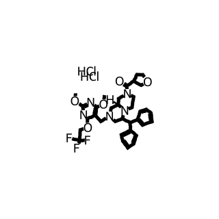 COc1nc(OC)c(CN2CC(C(c3ccccc3)c3ccccc3)N3CCN(C(=O)C4CCOC4)C[C@H]3C2)c(OCC(F)(F)F)n1.Cl.Cl